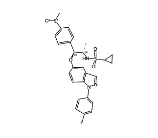 C[C@H](NS(=O)(=O)C1CC1)[C@@H](Oc1ccc2c(cnn2-c2ccc(F)cc2)c1)c1ccc([S+](C)[O-])cc1